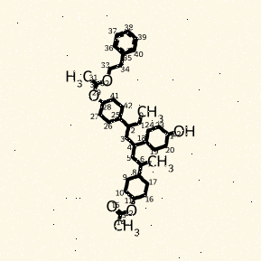 CCC(CC(CC(C)C1CCC(OC(C)=O)CC1)C1CCC(O)CC1)C1CCC(OC(C)OCCc2ccccc2)CC1